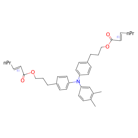 CCC/C=C/C(=O)OCCCc1ccc(N(c2ccc(CCCOC(=O)/C=C/CCC)cc2)c2ccc(C)c(C)c2)cc1